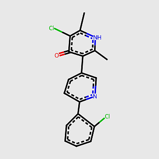 Cc1[nH]c(C)c(-c2ccc(-c3ccccc3Cl)nc2)c(=O)c1Cl